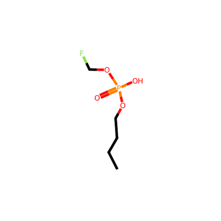 CCCCOP(=O)(O)OCF